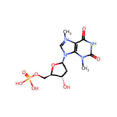 Cn1c(=O)[nH]c(=O)c2c1n([C@H]1C[C@H](O)[C@@H](COP(=O)(O)O)O1)c[n+]2C